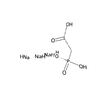 O=C(O)CP(=O)(O)O.[NaH].[NaH].[NaH]